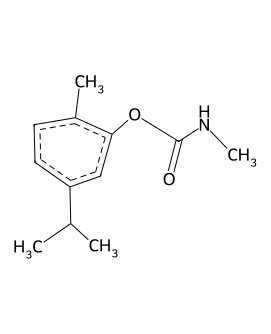 CNC(=O)Oc1cc(C(C)C)ccc1C